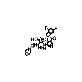 N=C(NCCN1CCOCC1)c1c(O)nsc1Nc1cncc(C(=O)N2CCc3c(F)cc(F)cc32)c1O